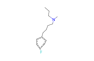 CCCN(C)CCCCc1ccc(F)cc1